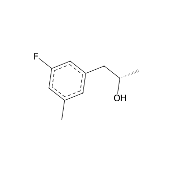 Cc1cc(F)cc(C[C@H](C)O)c1